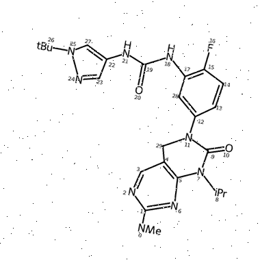 CNc1ncc2c(n1)N(C(C)C)C(=O)N(c1ccc(F)c(NC(=O)Nc3cnn(C(C)(C)C)c3)c1)C2